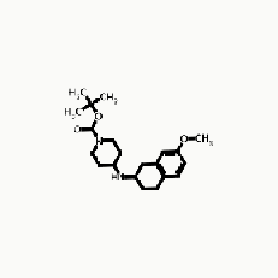 COc1ccc2c(c1)CC(NC1CCN(C(=O)OC(C)(C)C)CC1)CC2